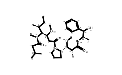 CC[C@H](C)[C@@H](C(CC(=O)N1CCC[C@H]1C(OC)[C@@H](C)C(=O)N[C@H](C)C(O)c1ccccc1)OC)N(C)C(=O)CC(C)C